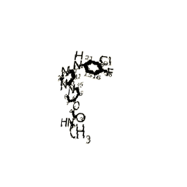 CNC(=O)COC1CCN(c2cc(Nc3ccc(F)c(Cl)c3)ncn2)CC1